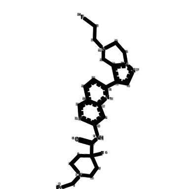 CC(C)CN1CCC(F)(C(=O)Nc2cc3nc(-c4cnn5c4CN(CCF)CC5)ccc3cn2)CC1